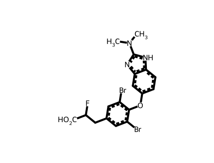 CN(C)c1nc2cc(Oc3c(Br)cc(CC(F)C(=O)O)cc3Br)ccc2[nH]1